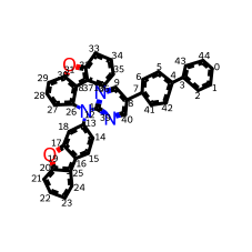 c1ccc(-c2ccc(-c3cnc(N(c4ccc5c(c4)oc4ccccc45)c4cccc5oc6ccccc6c45)nc3)cc2)cc1